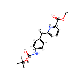 COC(=O)c1cccc(C(C)c2ccc(NC(=O)OC(C)(C)C)cc2)n1